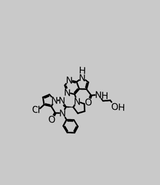 O=C(NCCO)c1c[nH]c2ncnc(N3CCC[C@H]3c3nn4ccc(Cl)c4c(=O)n3-c3ccccc3)c12